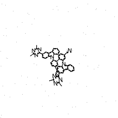 Cc1nc(C)nc(-c2ccc3c(c2)c2ccccc2n3-c2ccc(C#N)cc2-c2ccc(C#N)cc2-n2c3ccccc3c3cc(-c4nc(C)nc(C)n4)ccc32)n1